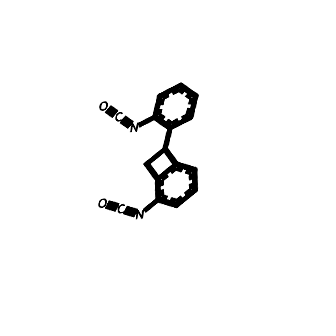 O=C=Nc1ccccc1C1Cc2c(N=C=O)cccc21